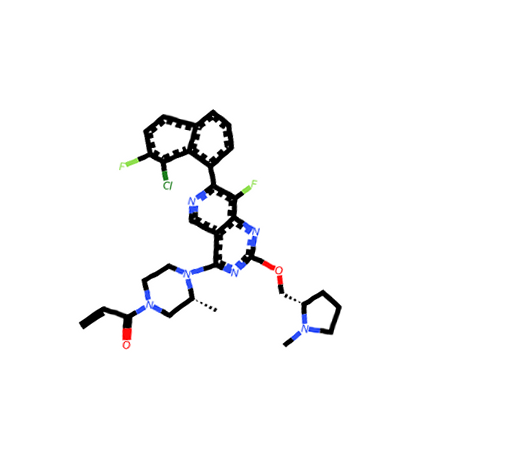 C=CC(=O)N1CCN(c2nc(OC[C@@H]3CCCN3C)nc3c(F)c(-c4cccc5ccc(F)c(Cl)c45)ncc23)[C@H](C)C1